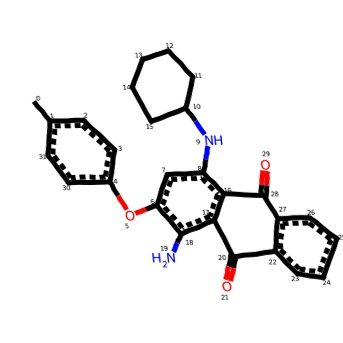 Cc1ccc(Oc2cc(NC3CCCCC3)c3c(c2N)C(=O)c2ccccc2C3=O)cc1